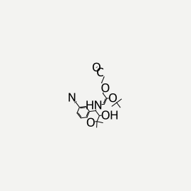 CC(C)(C)O/C(=C/N[C@H]1c2cc(C#N)ccc2OC(C)(C)[C@@H]1O)COCC=C=O